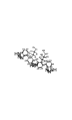 CCC(C)(C)C(C)(C)c1c(-c2cccc3[nH]nnc23)ccc(O)c1Cc1c(O)ccc(-c2cccc3[nH]nnc23)c1C(C)(C)C(C)(C)CC